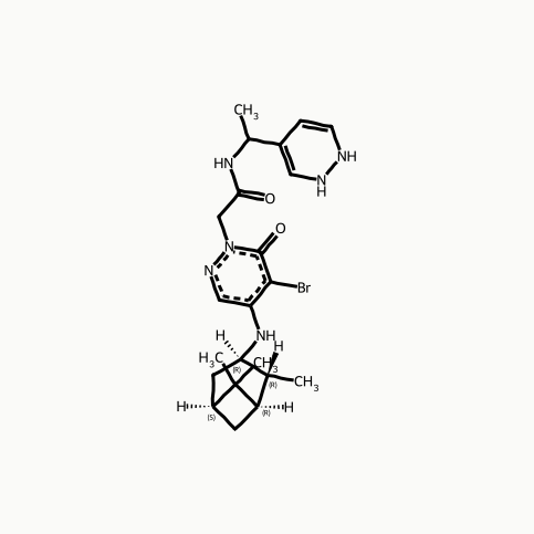 CC(NC(=O)Cn1ncc(N[C@@H]2C[C@@H]3C[C@H]([C@H]2C)C3(C)C)c(Br)c1=O)C1=CNNC=C1